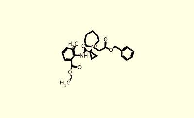 CCOC(=O)c1cccc(C)c1NC(=O)C1([N+]2(CC(=O)OCc3ccccc3)CCCCCC2)CC1